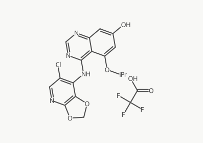 CC(C)Oc1cc(O)cc2ncnc(Nc3c(Cl)cnc4c3OCO4)c12.O=C(O)C(F)(F)F